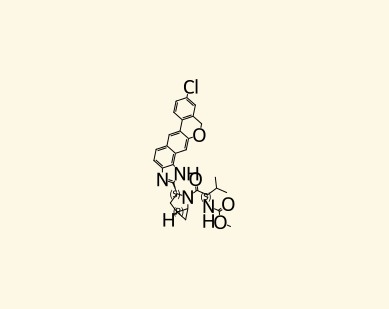 COC(=O)N[C@H](C(=O)N1C2C[C@@H]2C[C@H]1c1nc2ccc3cc4c(cc3c2[nH]1)OCc1cc(Cl)ccc1-4)C(C)C